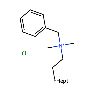 CCCCCCCCC[N+](C)(C)Cc1ccccc1.[Cl-]